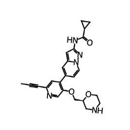 CC#Cc1cc(-c2ccn3nc(NC(=O)C4CC4)cc3c2)c(OC[C@@H]2CNCCO2)cn1